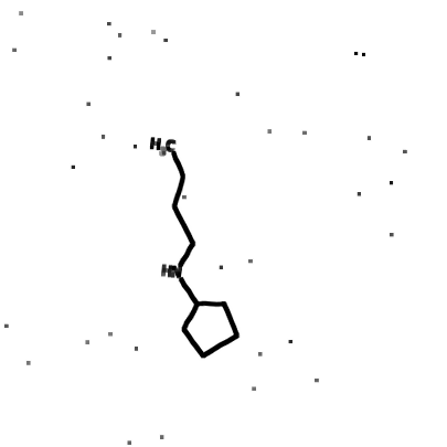 CCCCNC1CCCC1